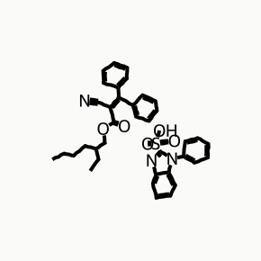 CCCCC(CC)COC(=O)C(C#N)=C(c1ccccc1)c1ccccc1.O=S(=O)(O)c1nc2ccccc2n1-c1ccccc1